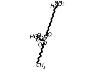 CCCCCCCCCC(=O)O[C@H](COC(=O)CCCCCCCCCCCCNC(C)=O)COP(=O)(O)O